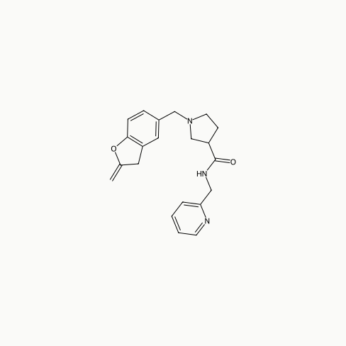 C=C1Cc2cc(CN3CCC(C(=O)NCc4ccccn4)C3)ccc2O1